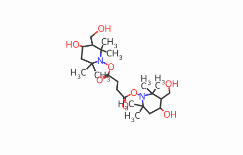 CC1(C)CC(O)C(CO)C(C)(C)N1OC(=O)CCC(=O)ON1C(C)(C)CC(O)C(CO)C1(C)C